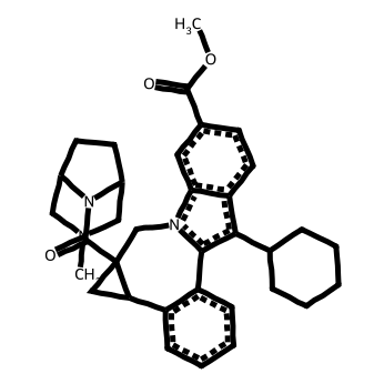 COC(=O)c1ccc2c(C3CCCCC3)c3n(c2c1)CC1(C(=O)N2C4CCC2CN(C)C4)CC1c1ccccc1-3